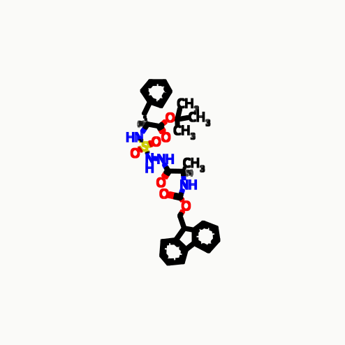 C[C@H](NC(=O)OCC1c2ccccc2-c2ccccc21)C(=O)NNS(=O)(=O)N[C@H](Cc1ccccc1)C(=O)OC(C)(C)C